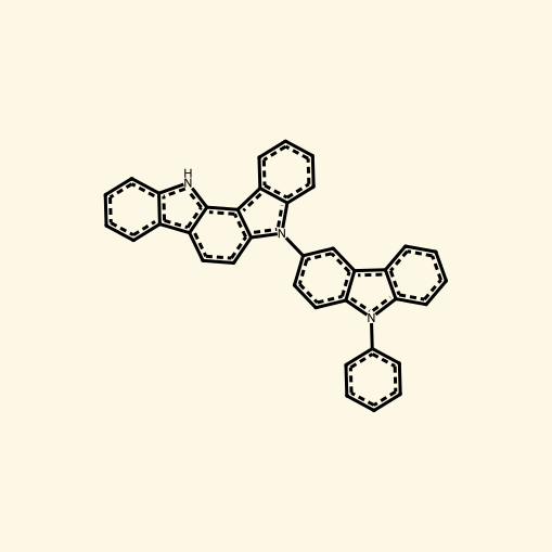 c1ccc(-n2c3ccccc3c3cc(-n4c5ccccc5c5c6[nH]c7ccccc7c6ccc54)ccc32)cc1